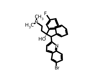 CN(C)CC[C@@](O)(c1cccc(F)c1)C(c1ccccc1)c1ccc2cc(Br)ccc2n1